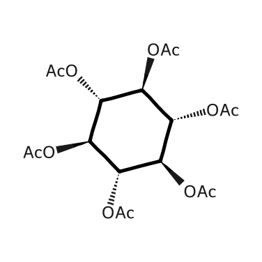 CC(=O)O[C@H]1[C@H](OC(C)=O)[C@@H](OC(C)=O)[C@H](OC(C)=O)[C@@H](OC(C)=O)[C@@H]1OC(C)=O